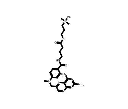 CN(Cc1cnc2nc(N)nc(N)c2n1)c1ccc(C(=O)NCCCC(=O)NCCC[Si](C)(C)O)cc1